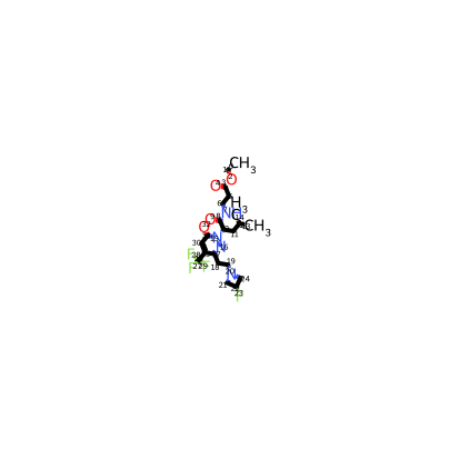 CCOC(=O)CCNC(=O)C(CC(C)C)n1nc(CCN2CC(F)C2)c(C(F)(F)F)cc1=O